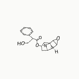 CN1C2CC(OC(=O)C(CO)c3ccccc3)CC13C1OC1[C@@H]23